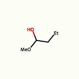 [CH2]CCC(O)OC